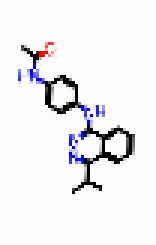 CC(=O)Nc1ccc(Nc2nnc(C(C)C)c3ccccc23)cc1